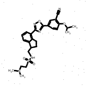 CC(C)Oc1ccc(-c2nc(-c3cccc4c3CCC4CNS(=O)(=O)CCN(C)C)no2)cc1C#N